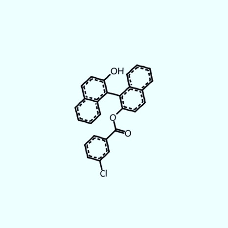 O=C(Oc1ccc2ccccc2c1-c1c(O)ccc2ccccc12)c1cccc(Cl)c1